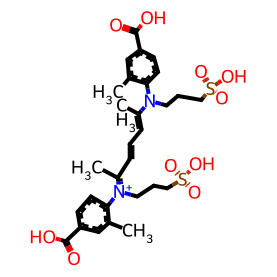 C\C(=C/C=C/C(C)=[N+](\CCCS(=O)(=O)O)c1ccc(C(=O)O)cc1C)N(CCCS(=O)(=O)O)c1ccc(C(=O)O)cc1C